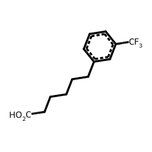 O=C(O)CCCCCc1cccc(C(F)(F)F)c1